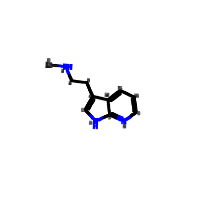 CCNCCc1c[nH]c2ncccc12